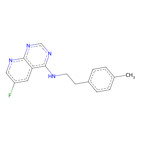 Cc1ccc(CCNc2ncnc3ncc(F)cc23)cc1